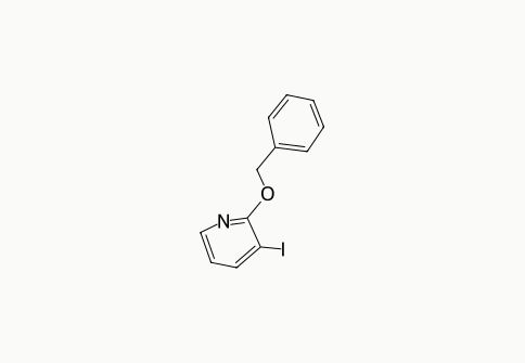 Ic1cccnc1OCc1ccccc1